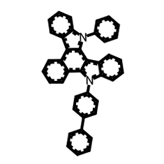 c1ccc(-c2ccc(-n3c4ccccc4c4c3c3ccccc3c3c5ccccc5n(-c5ccccc5)c34)cc2)cc1